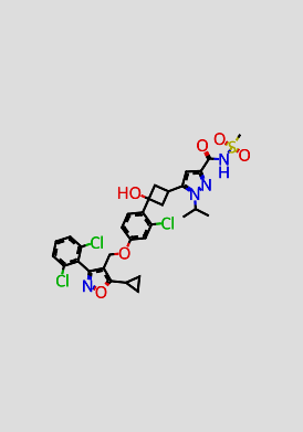 CC(C)n1nc(C(=O)NS(C)(=O)=O)cc1C1CC(O)(c2ccc(OCc3c(-c4c(Cl)cccc4Cl)noc3C3CC3)cc2Cl)C1